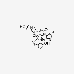 Cc1ccnc(C(C)C)c1-n1c(=O)nc(N2CCN(C(=O)O)C[C@@H]2C)c2cc(C3CC3)c(-c3c(O)cccc3F)nc21